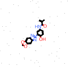 C=C(C)C(=O)Nc1ccc(O)c(-n2nc3cc4c(cc3n2)OCO4)c1